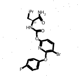 CC(C)C[C@H](NC(=O)Oc1ccc(Br)c(Oc2ccc(F)cc2)n1)C(N)=O